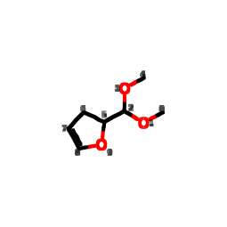 COC(OC)C1CC=CO1